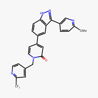 COc1ccc(-c2n[nH]c3ccc(-c4ccn(Cc5ccnc(C(F)(F)F)c5)c(=O)c4)cc23)cn1